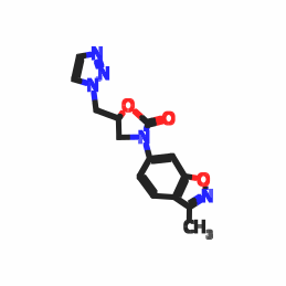 Cc1noc2cc(N3CC(Cn4ccnn4)OC3=O)ccc12